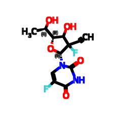 C#CC1(F)C(O)[C@@H]([C@@H](C)O)O[C@H]1n1cc(F)c(=O)[nH]c1=O